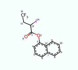 O=C(Oc1cccc2ccccc12)C(I)CC(F)(F)F